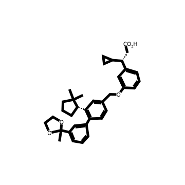 CC1(c2cccc(-c3ccc(COc4cccc([C@@H](CC(=O)O)C5CC5)c4)cc3[C@@H]3CCCC3(C)C)c2)OCCO1